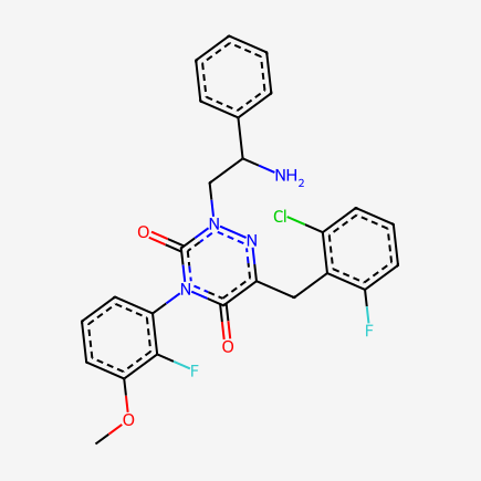 COc1cccc(-n2c(=O)c(Cc3c(F)cccc3Cl)nn(CC(N)c3ccccc3)c2=O)c1F